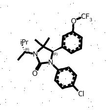 CC(C)[C@@H](C)N1C(=O)N(c2ccc(Cl)cc2)[C@H](c2cccc(OC(F)(F)F)c2)C1(C)C